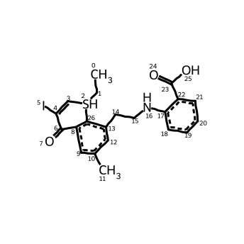 CC[SH]1C=C(I)C(=O)c2cc(C)cc(CCNc3ccccc3C(=O)O)c21